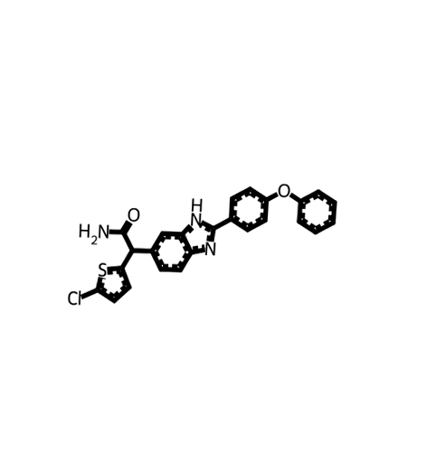 NC(=O)C(c1ccc2nc(-c3ccc(Oc4ccccc4)cc3)[nH]c2c1)c1ccc(Cl)s1